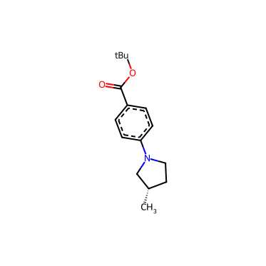 C[C@H]1CCN(c2ccc(C(=O)OC(C)(C)C)cc2)C1